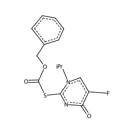 CC(C)n1cc(F)c(=O)nc1SC(=O)OCc1ccccc1